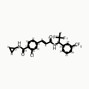 CC(F)(F)C(NC(=O)/C=C/c1ccc(C(=O)NC2CC2)c(Cl)c1)c1cccc(C(F)(F)F)c1